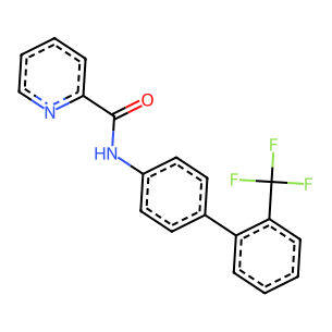 O=C(Nc1ccc(-c2ccccc2C(F)(F)F)cc1)c1ccccn1